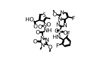 COc1ncc(F)c2nc(S(=O)(=O)Nc3c(F)cccc3F)nn12.COc1nn(C(=O)NS(=O)(=O)c2c(C(=O)O)csc2C)c(=O)n1C